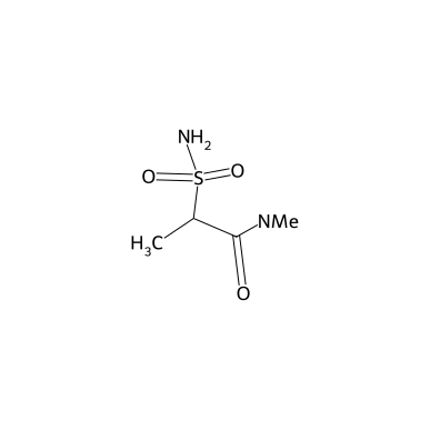 CNC(=O)C(C)S(N)(=O)=O